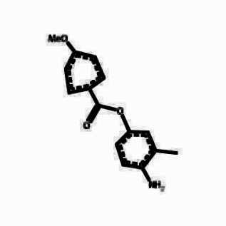 COc1ccc(C(=O)Oc2ccc(N)c(C)c2)cc1